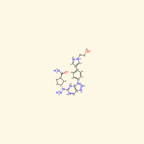 NC(=O)[C@@H]1CC[C@@H](N(N)c2ncc3nnn(-c4ccc(-c5cnn(CCO)c5)cc4)c3n2)C1